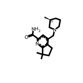 C[C@H]1CCCN(Cc2cc(C(N)=O)nc3c2CCC3(C)C)C1